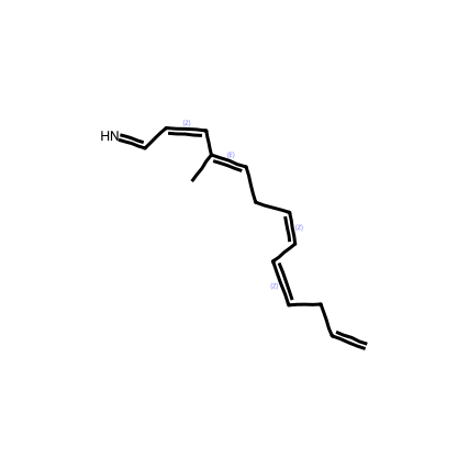 C=CC/C=C\C=C/C/C=C(C)/C=C\C=N